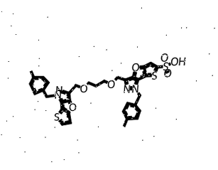 Cc1ccc(Cn2nc(COCCCOCc3nn(Cc4ccc(C)cc4)c4c3oc3cc(S(=O)(=O)O)sc34)c3oc4ccsc4c32)cc1